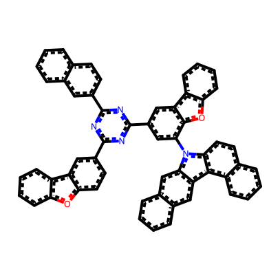 c1ccc2cc(-c3nc(-c4ccc5oc6ccccc6c5c4)nc(-c4cc(-n5c6cc7ccccc7cc6c6c7ccccc7ccc65)c5oc6ccccc6c5c4)n3)ccc2c1